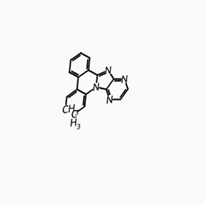 C/C=c1\c(=C/C)n2c3nccnc3nc2c2ccccc12